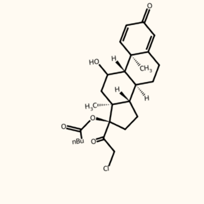 CCCCC(=O)O[C@]1(C(=O)CCl)CC[C@H]2[C@@H]3CCC4=CC(=O)C=C[C@]4(C)[C@H]3C(O)C[C@@]21C